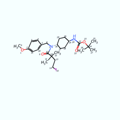 COc1ccc(CN(C(=O)C(C)(C)CCI)[C@H]2CC[C@H](NC(=O)OC(C)(C)C)CC2)cc1